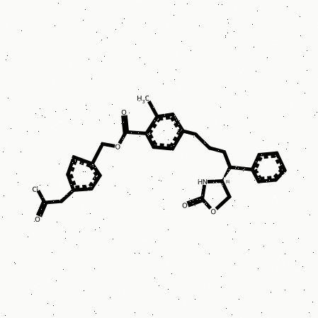 Cc1cc(CCCC(c2ccccc2)[C@H]2COC(=O)N2)ccc1C(=O)OCc1ccc(CC(=O)Cl)cc1